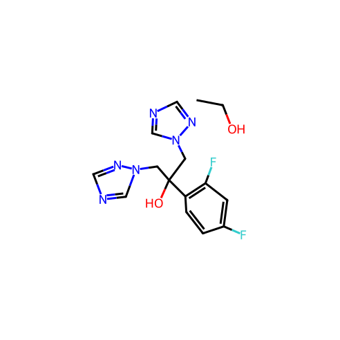 CCO.OC(Cn1cncn1)(Cn1cncn1)c1ccc(F)cc1F